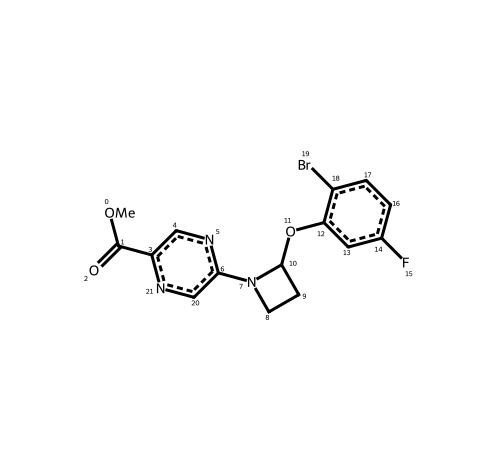 COC(=O)c1cnc(N2CCC2Oc2cc(F)ccc2Br)cn1